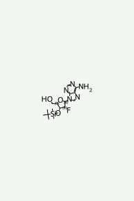 CC(C)(C)[Si](C)(C)OC1[C@@H](F)[C@H](n2cnc3c(N)ncnc32)O[C@@H]1CO